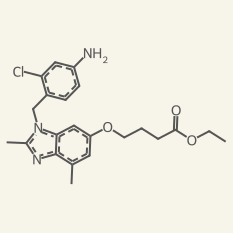 CCOC(=O)CCCOc1cc(C)c2nc(C)n(Cc3ccc(N)cc3Cl)c2c1